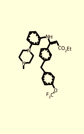 CCOC(=O)/C=C(/Nc1cccc(N2CCN(C)CC2)c1)c1ccc(Cc2ccc(OC(F)(F)F)cc2)cc1